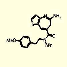 CCCN(CCc1ccc(OC)cc1)C(=O)C1=Cc2sccc2N=C(N)C1